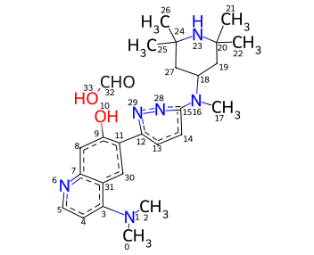 CN(C)c1ccnc2cc(O)c(-c3ccc(N(C)C4CC(C)(C)NC(C)(C)C4)nn3)cc12.O=CO